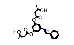 C[C@@H](O)CC(=O)Oc1cc(/C=C/c2cc[c]cc2)cc(OC(=O)C[C@@H](C)O)c1